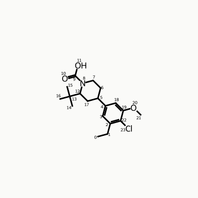 CCc1cc(C2CCN(C(=O)O)C(C(C)(C)C)C2)cc(OC)c1Cl